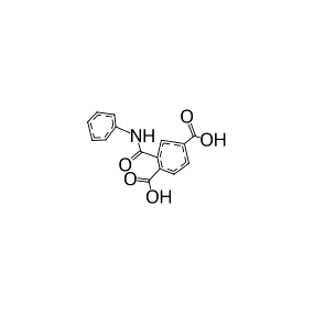 O=C(O)c1ccc(C(=O)O)c(C(=O)Nc2ccccc2)c1